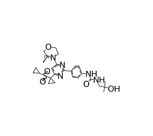 C[C@H]1COCCN1c1cc(C2(S(=O)(=O)C3CC3)CC2)nc(-c2ccc(NC(=O)NCC(C)(C)O)cc2)n1